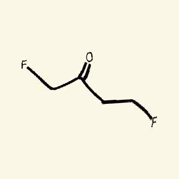 O=C(CF)CCF